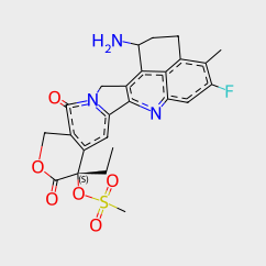 CC[C@@]1(OS(C)(=O)=O)C(=O)OCc2c1cc1n(c2=O)Cc2c-1nc1cc(F)c(C)c3c1c2C(N)CC3